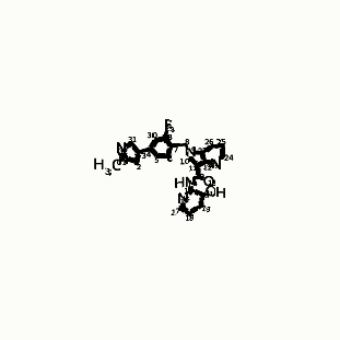 Cn1cc(-c2ccc(Cn3cc(C(=O)Nc4ncccc4O)c4ncccc43)c(F)c2)cn1